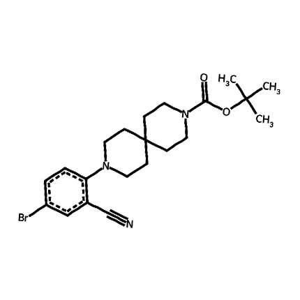 CC(C)(C)OC(=O)N1CCC2(CC1)CCN(c1ccc(Br)cc1C#N)CC2